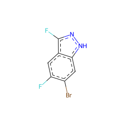 Fc1cc2c(F)n[nH]c2cc1Br